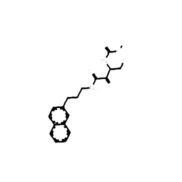 CC(C)(C)OC(=O)NC(CC(F)(F)F)C(=O)C(=O)NCCCc1ccc2ccccc2c1